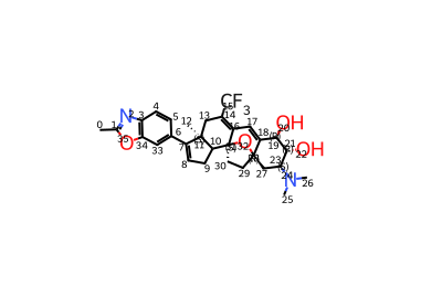 Cc1nc2ccc(C3=CCC4[C@]3(C)CC(C(F)(F)F)=C3C=C5[C@@H](O)[C@H](O)[C@@H](N(C)C)C[C@]56CC[C@@]34O6)cc2o1